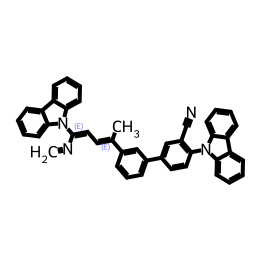 C=N/C(=C\C=C(/C)c1cccc(-c2ccc(-n3c4ccccc4c4ccccc43)c(C#N)c2)c1)n1c2ccccc2c2ccccc21